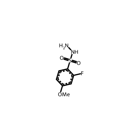 COc1ccc(S(=O)(=O)NN)c(F)c1